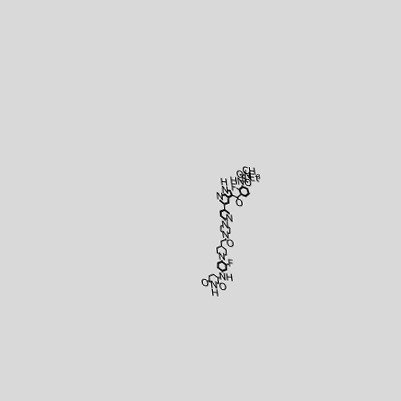 CCN(C)S(=O)(=O)Nc1cccc(C(=O)c2c[nH]c3ncc(-c4ccc(N5CCN(C(=O)CC6CCN(c7ccc(NC8CCC(=O)NC8=O)cc7F)CC6)CC5)nc4)cc23)c1F